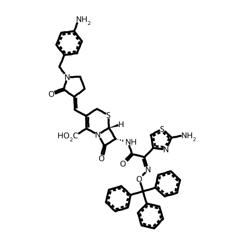 Nc1ccc(CN2CC/C(=C\C3=C(C(=O)O)N4C(=O)[C@@H](NC(=O)/C(=N\OC(c5ccccc5)(c5ccccc5)c5ccccc5)c5csc(N)n5)[C@H]4SC3)C2=O)cc1